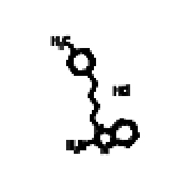 Cc1ccc(CCCCn2c(N)nc3ccccc32)cc1.Cl